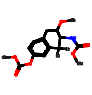 CCOC1Cc2ccc(OC(=O)OC(C)(C)C)cc2C(CC)(CC)C1NC(=O)OC(C)(C)C